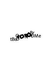 COc1cc2nn(C3CCN(C(=O)OC(C)(C)C)CC3)cc2cc1Br